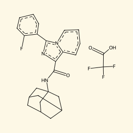 O=C(NC12CC3CC(CC(C3)C1)C2)c1nc(-c2ccccc2F)n2ccccc12.O=C(O)C(F)(F)F